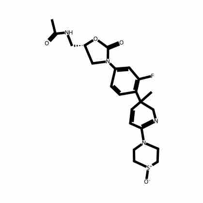 CC(=O)NC[C@H]1CN(c2ccc(C3(C)C=CC(N4CC[S+]([O-])CC4)=NC3)c(F)c2)C(=O)O1